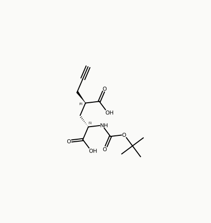 C#CC[C@H](C[C@H](NC(=O)OC(C)(C)C)C(=O)O)C(=O)O